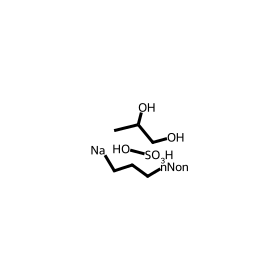 CC(O)CO.CCCCCCCCCCC[CH2][Na].O=S(=O)(O)O